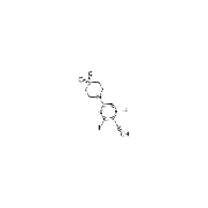 C#Cc1c(F)cc(N2CCS(=O)(=O)CC2)cc1F